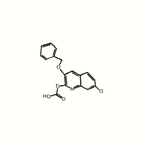 O=C(O)Oc1nc2cc(Cl)ccc2cc1OCc1ccccc1